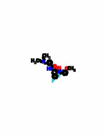 CCCN(CCC)Cc1cccc(C(=O)N[C@@H](Cc2cc(F)cc(F)c2)[C@H](O)CNCc2cccc(OC)c2)c1